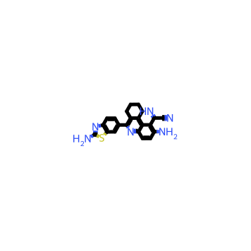 N#CC(=N)c1c(N)ccc2nc(-c3ccc4nc(N)sc4c3)c3c(c12)CCCC3